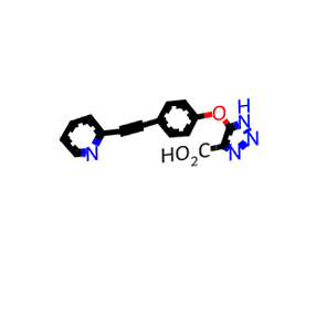 O=C(O)c1nn[nH]c1Oc1ccc(C#Cc2ccccn2)cc1